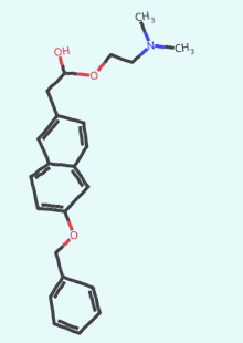 CN(C)CCOC(O)Cc1ccc2cc(OCc3ccccc3)ccc2c1